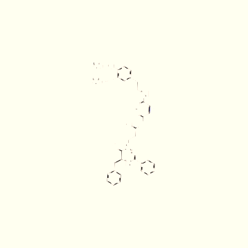 COc1ccc(CCNC(=O)/C=C\C(=O)OC(=O)CCNC(=O)C(=Cc2ccccc2)NC(=O)c2ccccc2)cc1OC